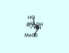 COC(=O)CCCC=C1C[C@H]2C[C@H](O)[C@@H](C=CC(C)(O)CCCCCO)[C@@H]2C1